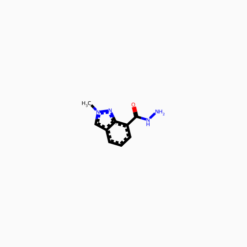 Cn1cc2cccc(C(=O)NN)c2n1